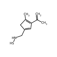 C=C(C)C1=C(C)CC(CNS)=C1